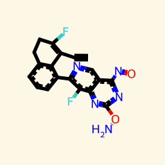 C#CC1=C(F)CCc2cccc(-c3ncc4c(N=O)nc(ON)nc4c3F)c21